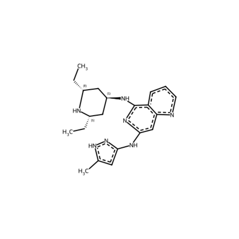 CC[C@@H]1C[C@@H](Nc2nc(Nc3cc(C)[nH]n3)cc3ncccc23)C[C@H](CC)N1